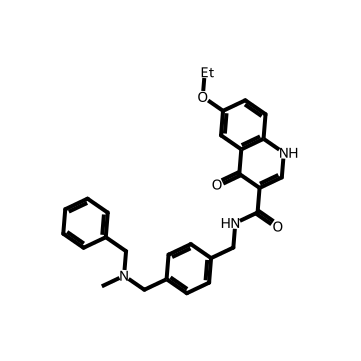 CCOc1ccc2[nH]cc(C(=O)NCc3ccc(CN(C)Cc4ccccc4)cc3)c(=O)c2c1